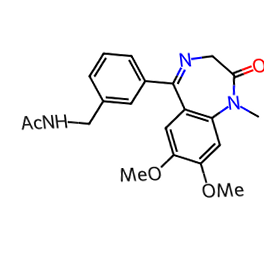 COc1cc2c(cc1OC)N(C)C(=O)CN=C2c1cccc(CNC(C)=O)c1